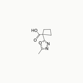 Cc1nnc(C2(C(=O)O)CCC2)o1